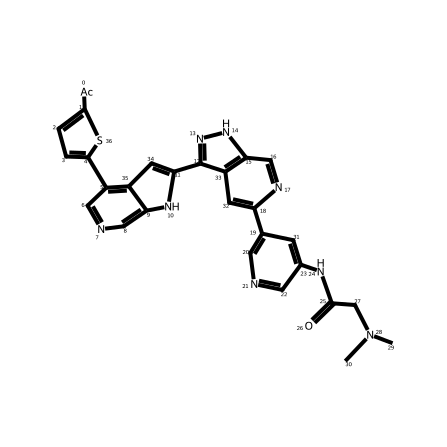 CC(=O)c1ccc(-c2cncc3[nH]c(-c4n[nH]c5cnc(-c6cncc(NC(=O)CN(C)C)c6)cc45)cc23)s1